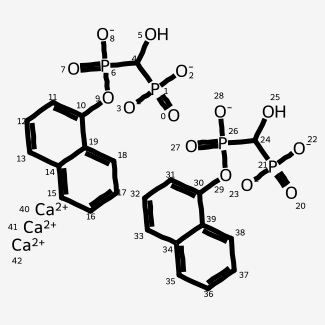 O=P([O-])([O-])C(O)P(=O)([O-])Oc1cccc2ccccc12.O=P([O-])([O-])C(O)P(=O)([O-])Oc1cccc2ccccc12.[Ca+2].[Ca+2].[Ca+2]